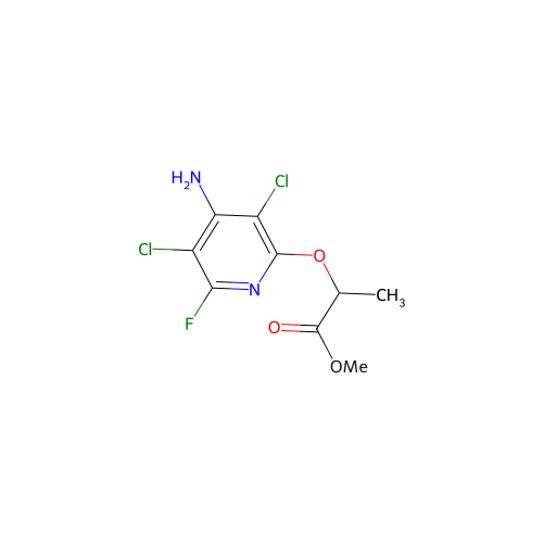 COC(=O)C(C)Oc1nc(F)c(Cl)c(N)c1Cl